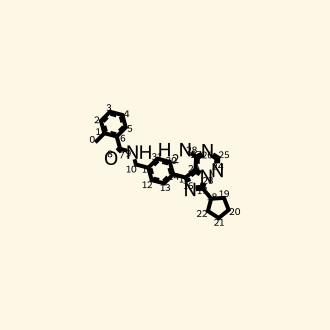 Cc1ccccc1C(=O)NCc1ccc(-c2nc(C3CCCC3)n3ncnc(N)c23)cc1